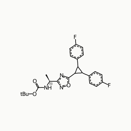 C[C@H](NC(=O)OC(C)(C)C)c1noc(C2C(c3ccc(F)cc3)C2c2ccc(F)cc2)n1